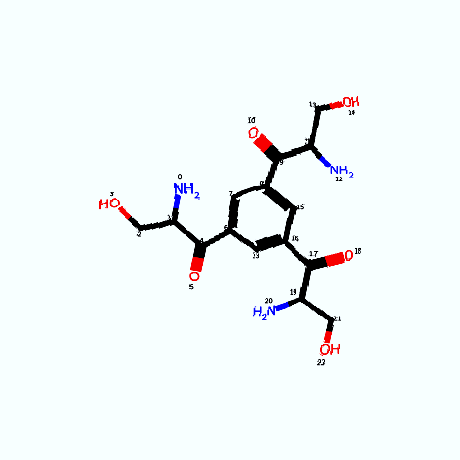 NC(CO)C(=O)c1cc(C(=O)C(N)CO)cc(C(=O)C(N)CO)c1